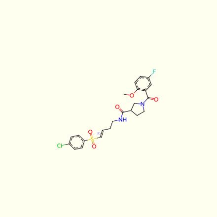 COc1ccc(F)cc1C(=O)N1CCC(C(=O)NCC/C=C/S(=O)(=O)c2ccc(Cl)cc2)C1